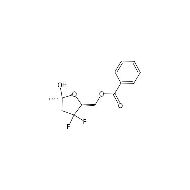 C[C@@]1(O)CC(F)(F)[C@H](COC(=O)c2ccccc2)O1